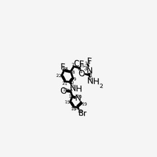 N/C(=N/CF)O[C@@H](Cc1cc(NC(=O)c2ccc(Br)cn2)ccc1F)C(F)(F)F